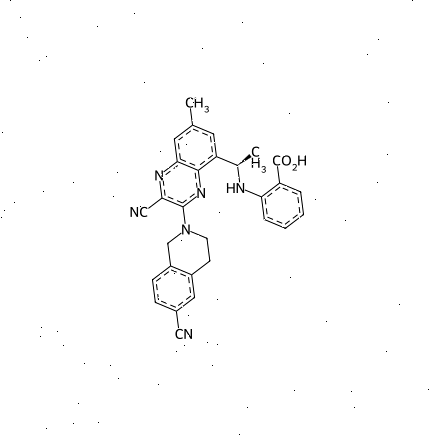 Cc1cc([C@@H](C)Nc2ccccc2C(=O)O)c2nc(N3CCc4cc(C#N)ccc4C3)c(C#N)nc2c1